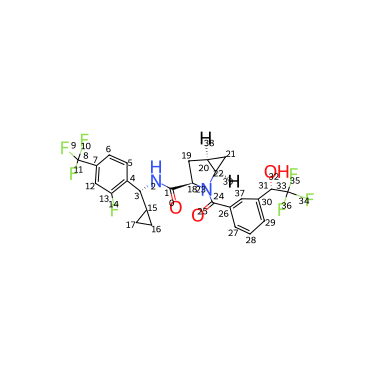 O=C(N[C@@H](c1ccc(C(F)(F)F)cc1F)C1CC1)[C@H]1C[C@H]2C[C@H]2N1C(=O)c1cccc([C@H](O)C(F)(F)F)c1